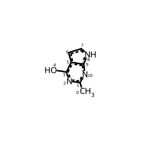 Cc1nc(O)c2cc[nH]c2n1